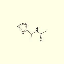 CC(=O)NC(C)c1ncco1